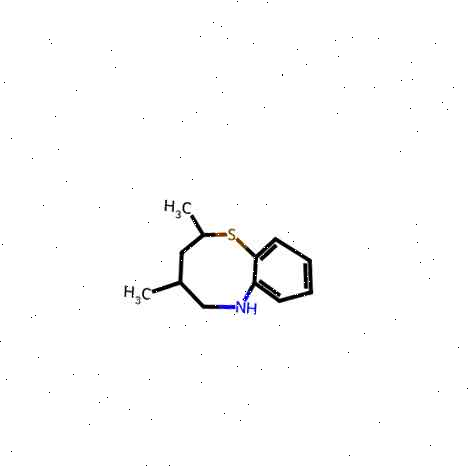 CC1CNc2ccccc2SC(C)C1